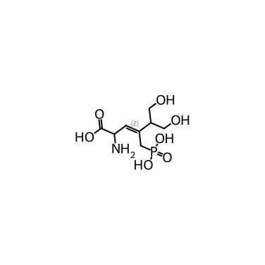 NC(/C=C(\CP(=O)(O)O)C(CO)CO)C(=O)O